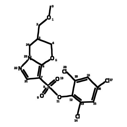 COCC1COc2c(S(=O)(=O)Oc3c(Cl)cc(Cl)cc3Cl)cnn2C1